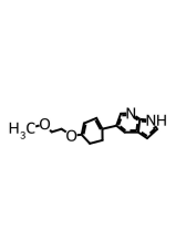 COCCOC1=CC=C(c2cnc3[nH]ccc3c2)CC1